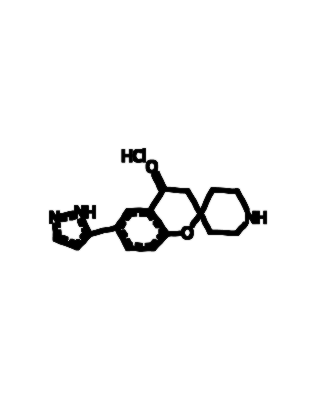 Cl.O=C1CC2(CCNCC2)Oc2ccc(-c3ccn[nH]3)cc21